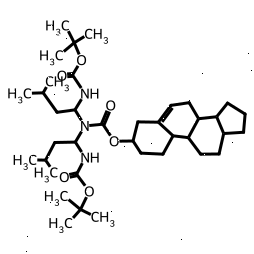 CC(C)CC(NC(=O)OC(C)(C)C)N(C(=O)OC1CCC2C(=CCC3C4CCCC4CCC23)C1)C(CC(C)C)NC(=O)OC(C)(C)C